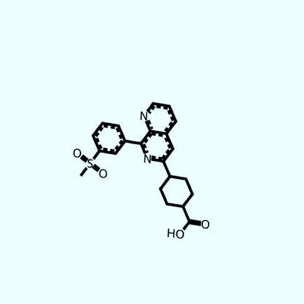 CS(=O)(=O)c1cccc(-c2nc(C3CCC(C(=O)O)CC3)cc3cccnc23)c1